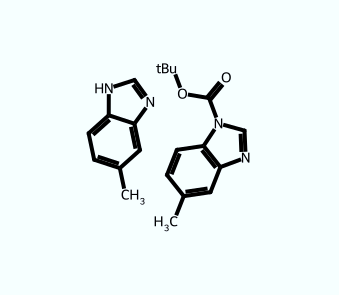 Cc1ccc2[nH]cnc2c1.Cc1ccc2c(c1)ncn2C(=O)OC(C)(C)C